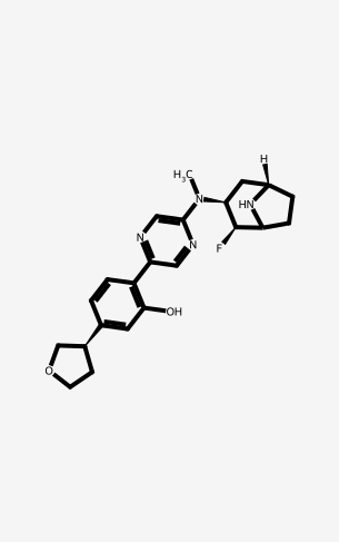 CN(c1cnc(-c2ccc([C@H]3CCOC3)cc2O)cn1)[C@H]1C[C@@H]2CCC(N2)[C@H]1F